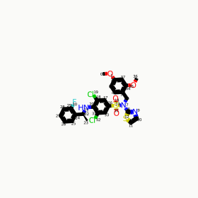 COc1ccc(CN(c2nccs2)S(=O)(=O)c2cc(Cl)c(N[C@@H](C)c3ccccc3F)c(Cl)c2)c(OC)c1